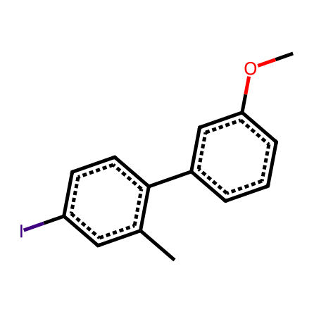 COc1cccc(-c2ccc(I)cc2C)c1